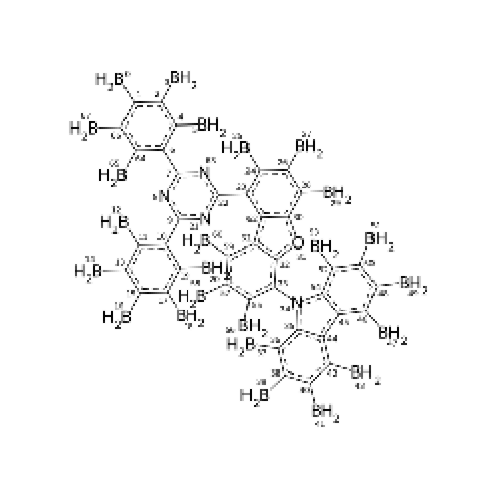 Bc1c(B)c(B)c(-c2nc(-c3c(B)c(B)c(B)c(B)c3B)nc(-c3c(B)c(B)c(B)c4oc5c(-n6c7c(B)c(B)c(B)c(B)c7c7c(B)c(B)c(B)c(B)c76)c(B)c(B)c(B)c5c34)n2)c(B)c1B